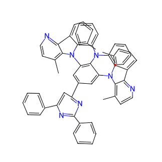 Cc1cccc2c3nccc(C)c3n(-c3cc(-c4cc(-c5ccccc5)nc(-c5ccccc5)n4)cc(-n4c5c(C)cccc5c5nccc(C)c54)c3N(c3ccccc3)c3ccccc3)c12